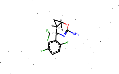 NC1=N[C@](c2cc(Br)ccc2F)(C(F)F)[C@@H]2C[C@@H]2O1